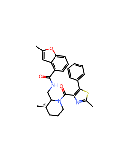 Cc1cc2c(C(=O)NCC3[C@H](C)CCCN3C(=O)c3nc(C)sc3-c3ccccc3)cccc2o1